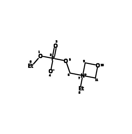 CCOP(=O)([O-])OC[N+]1(CC)COC1